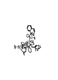 CC(C)C[C@H](NC(=O)C1(Cc2cscn2)CC(CNC(=O)c2nccc3ccccc23)=NO1)B(O)O